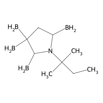 BC1CC(B)(B)C(B)N1C(C)(C)CC